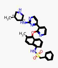 Cc1ccc2c(NS(=O)(=O)Cc3ccccc3)cccc2c1Oc1ncccc1-c1ccnc(N[C@@H]2CNC[C@H](C)C2)n1